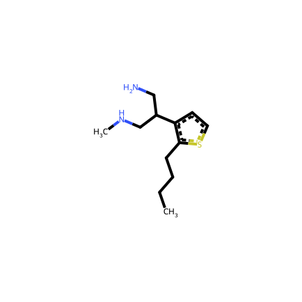 CCCCc1sccc1C(CN)CNC